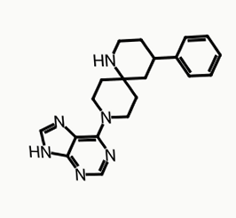 c1ccc(C2CCNC3(CCN(c4ncnc5[nH]cnc45)CC3)C2)cc1